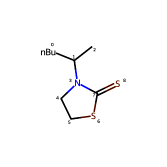 CCCCC(C)N1CCSC1=S